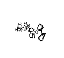 N#Cc1cc(S(=O)(=O)Nc2ncn[nH]2)ccc1Oc1ccccc1-c1ccccc1